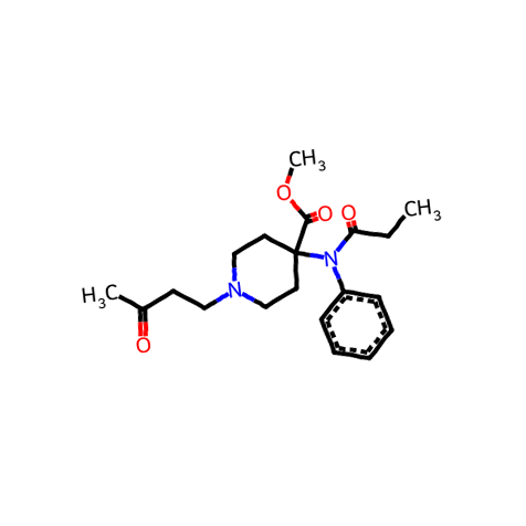 CCC(=O)N(c1ccccc1)C1(C(=O)OC)CCN(CCC(C)=O)CC1